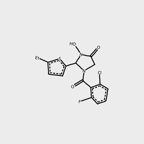 CCc1ccc(C2N(O)C(=O)CN2C(=O)c2c(F)cccc2Cl)s1